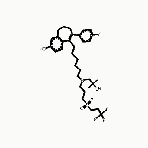 CC(C)(O)CN(CCCCCCC1=C(c2ccc(F)cc2)CCCc2cc(O)ccc21)CCCS(=O)(=O)CCC(F)(F)F